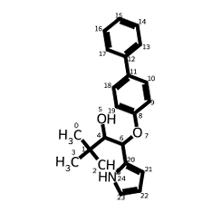 CC(C)(C)C(O)C(Oc1ccc(-c2ccccc2)cc1)c1ccc[nH]1